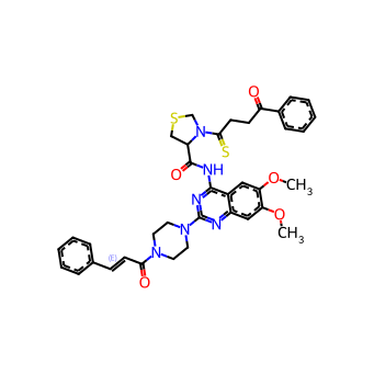 COc1cc2nc(N3CCN(C(=O)/C=C/c4ccccc4)CC3)nc(NC(=O)C3CSCN3C(=S)CCC(=O)c3ccccc3)c2cc1OC